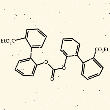 CCOC(=O)c1ccccc1-c1ccccc1OC(=O)Oc1ccccc1-c1ccccc1C(=O)OCC